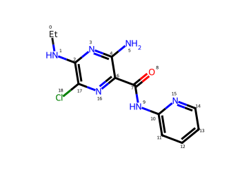 CCNc1nc(N)c(C(=O)Nc2ccccn2)nc1Cl